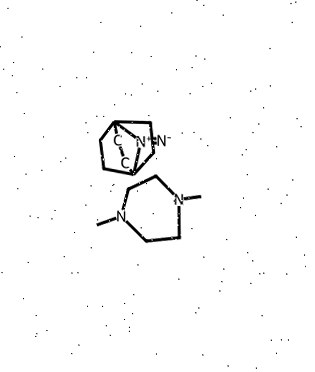 CN1CCN(C)CC1.[N-]=[N+]1C23CCC1(CC2)CC3